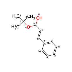 CC(C)(C)OC(O)/C=C/c1ccccc1